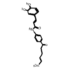 CCCCCCCCCCCCCCC(=O)c1ccc(NC(=O)C=Cc2ccc(O)c(O)c2)cc1